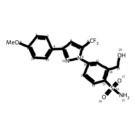 COc1ccc(-c2cc(C(F)(F)F)n(-c3ccc(S(N)(=O)=O)c(CO)c3)n2)cc1